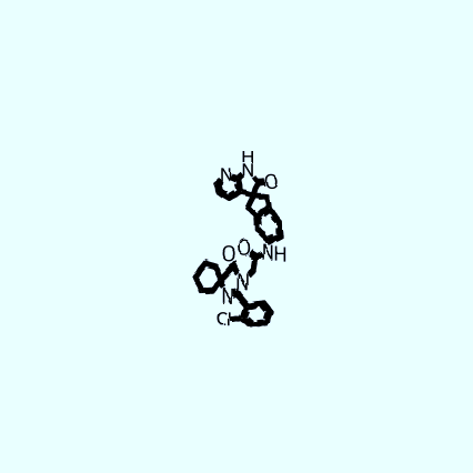 O=C(CN1C(=O)C2(CCCCC2)N=C1c1ccccc1Cl)Nc1ccc2c(c1)CC1(C2)C(=O)Nc2ncccc21